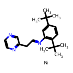 CC(C)(C)c1ccc(C(C)(C)C)c(N=CCc2cnccn2)c1.[Ni]